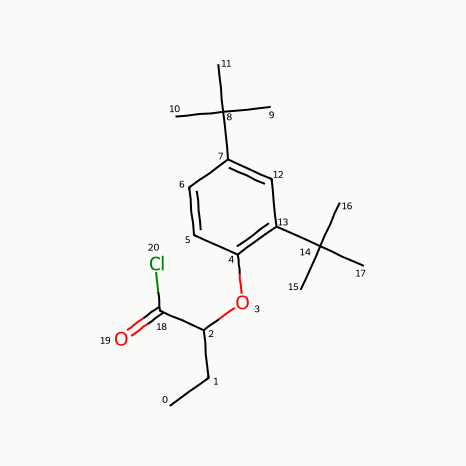 CCC(Oc1ccc(C(C)(C)C)cc1C(C)(C)C)C(=O)Cl